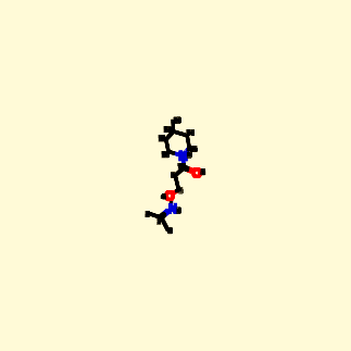 CC(C)=NOCCC(=O)N1CCC(C)CC1